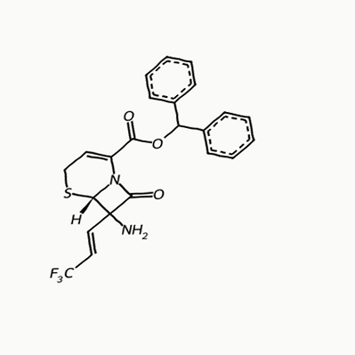 NC1(C=CC(F)(F)F)C(=O)N2C(C(=O)OC(c3ccccc3)c3ccccc3)=CCS[C@H]21